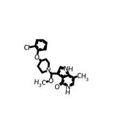 COC(c1c[nH]c2c(C)c[nH]c(=O)c12)N1CCC(Oc2ccccc2Cl)CC1